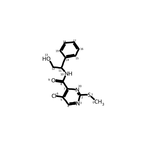 CSc1ncc(Cl)c(C(=O)NC(CO)c2ccccc2)n1